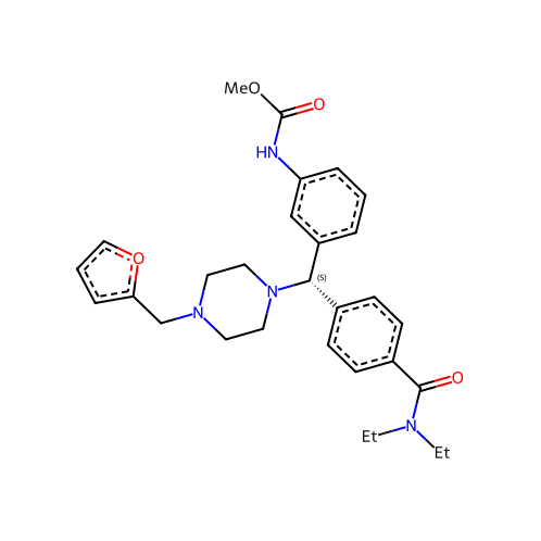 CCN(CC)C(=O)c1ccc([C@@H](c2cccc(NC(=O)OC)c2)N2CCN(Cc3ccco3)CC2)cc1